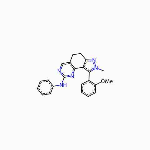 COc1ccccc1-c1c2c(nn1C)CCc1cnc(Nc3ccccc3)nc1-2